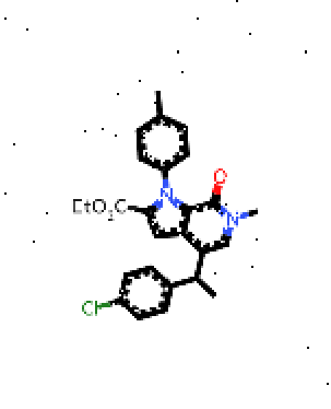 CCOC(=O)c1cc2c(C(C)c3ccc(Cl)cc3)cn(C)c(=O)c2n1-c1ccc(C)cc1